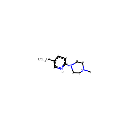 CCOC(=O)c1ccc(N2CCN(C)CC2)nc1